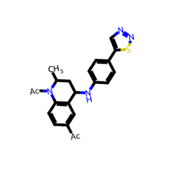 CC(=O)c1ccc2c(c1)C(Nc1ccc(-c3cnns3)cc1)CC(C)N2C(C)=O